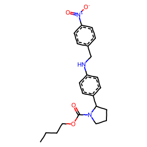 CCCCOC(=O)N1CCCC1c1ccc(NCc2ccc([N+](=O)[O-])cc2)cc1